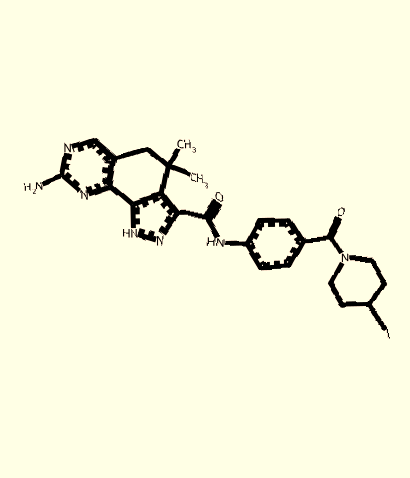 CC1(C)Cc2cnc(N)nc2-c2[nH]nc(C(=O)Nc3ccc(C(=O)N4CCC(I)CC4)cc3)c21